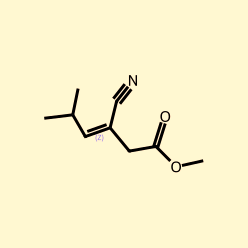 COC(=O)C/C(C#N)=C/C(C)C